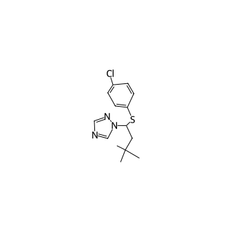 CC(C)(C)CC(Sc1ccc(Cl)cc1)n1cncn1